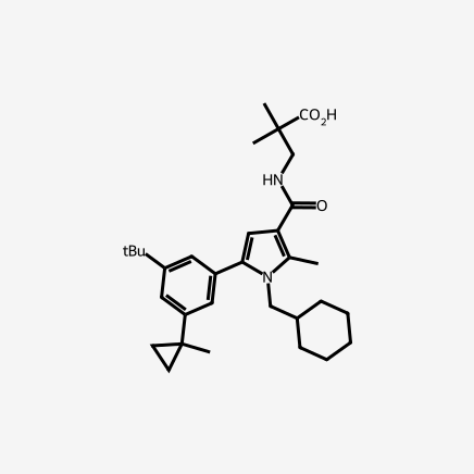 Cc1c(C(=O)NCC(C)(C)C(=O)O)cc(-c2cc(C(C)(C)C)cc(C3(C)CC3)c2)n1CC1CCCCC1